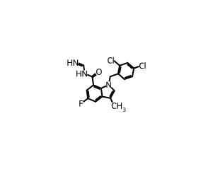 Cc1cn(Cc2ccc(Cl)cc2Cl)c2c(C(=O)NC=N)cc(F)cc12